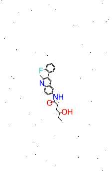 CCC(O)CCC(=O)Nc1ccc2nc(C)c(-c3ccccc3F)cc2c1